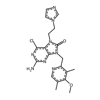 COc1c(C)cnc(Cn2c(=O)n(CCn3ccnc3)c3c(Cl)nc(N)nc32)c1C